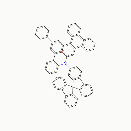 c1ccc(-c2cccc(-c3ccccc3N(c3ccc4c(c3)C3(c5ccccc5-c5ccccc53)c3ccccc3-4)c3ccc4c5ccccc5c5ccccc5c4c3)c2)cc1